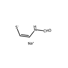 O=CN/C=C\[S-].[Na+]